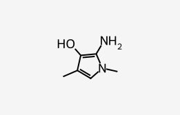 Cc1cn(C)c(N)c1O